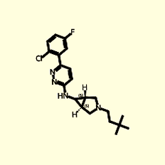 CC(C)(C)CCN1C[C@H]2C(Nc3ccc(-c4cc(F)ccc4Cl)nn3)[C@@H]2C1